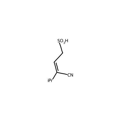 CC(C)C(C#N)=CCS(=O)(=O)O